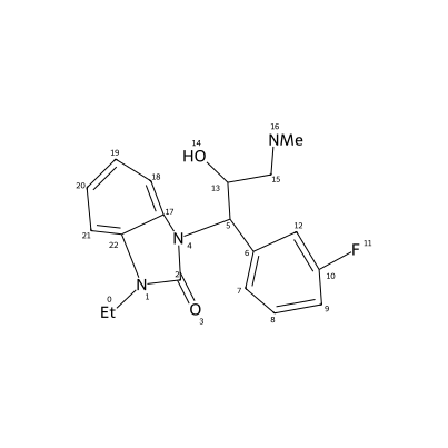 CCn1c(=O)n(C(c2cccc(F)c2)C(O)CNC)c2ccccc21